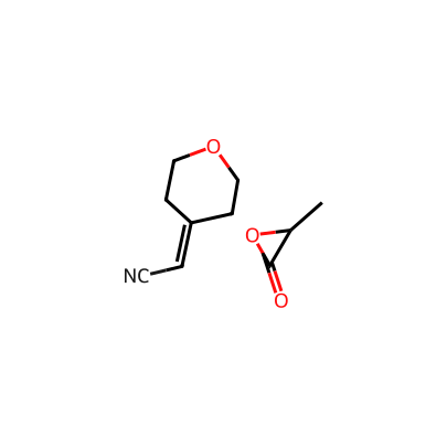 CC1OC1=O.N#CC=C1CCOCC1